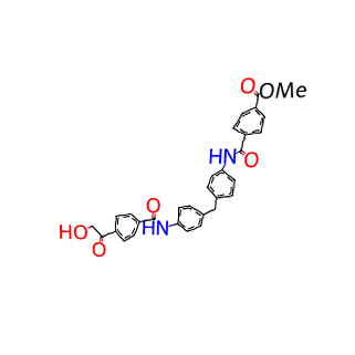 COC(=O)c1ccc(C(=O)Nc2ccc(Cc3ccc(NC(=O)c4ccc(C(=O)CO)cc4)cc3)cc2)cc1